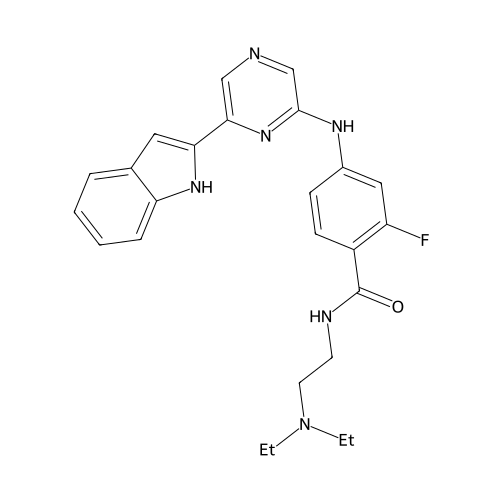 CCN(CC)CCNC(=O)c1ccc(Nc2cncc(-c3cc4ccccc4[nH]3)n2)cc1F